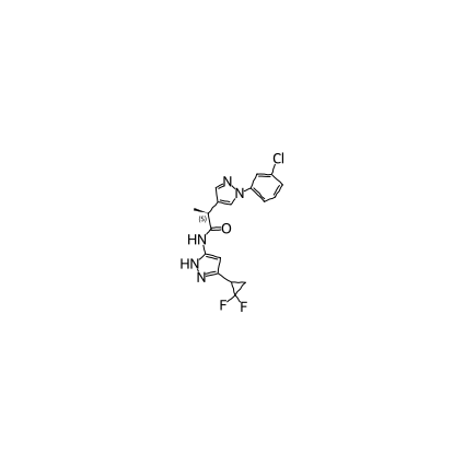 C[C@H](C(=O)Nc1cc(C2CC2(F)F)n[nH]1)c1cnn(-c2cccc(Cl)c2)c1